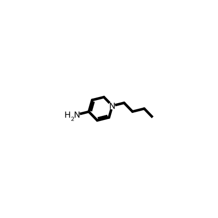 CCCCN1C=CC(N)=CC1